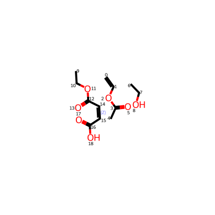 C=COC(C)=O.CCO.CCOC(=O)/C=C\C(=O)O